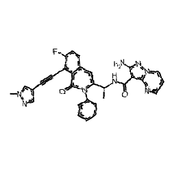 C[C@H](NC(=O)c1c(N)nn2cccnc12)c1cc2ccc(F)c(C#Cc3cnn(C)c3)c2c(=O)n1-c1ccccc1